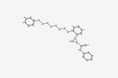 O=C(Oc1ccccc1)C1OC1c1ccccc1CCCCCCCCc1ccccc1